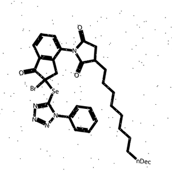 CCCCCCCCCCCCCCCCCCC1CC(=O)N(c2cccc3c2CC(Br)([Se]c2nnnn2-c2ccccc2)C3=O)C1=O